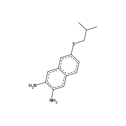 CC(C)CSc1ccc2cc(N)c(N)cc2c1